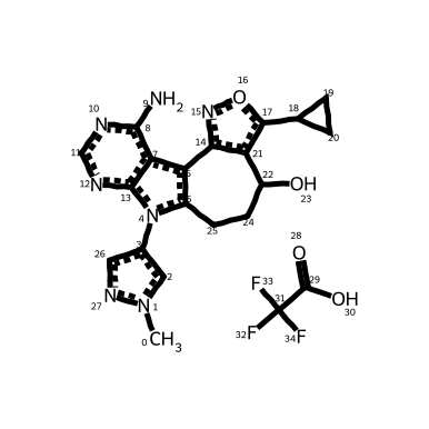 Cn1cc(-n2c3c(c4c(N)ncnc42)-c2noc(C4CC4)c2C(O)CC3)cn1.O=C(O)C(F)(F)F